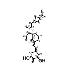 C=C1[C@H](O)CC(=CC=C2CCC[C@]3(C)[C@@H](C(C)CCN4CC(C(F)F)C4)CC[C@@H]23)C[C@H]1O